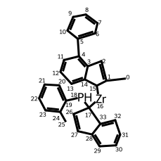 CC1=Cc2c(-c3ccccc3)cccc2[CH]1[Zr][C]1(Pc2ccccc2C)C=Cc2ccccc21